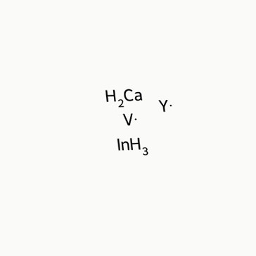 [CaH2].[InH3].[V].[Y]